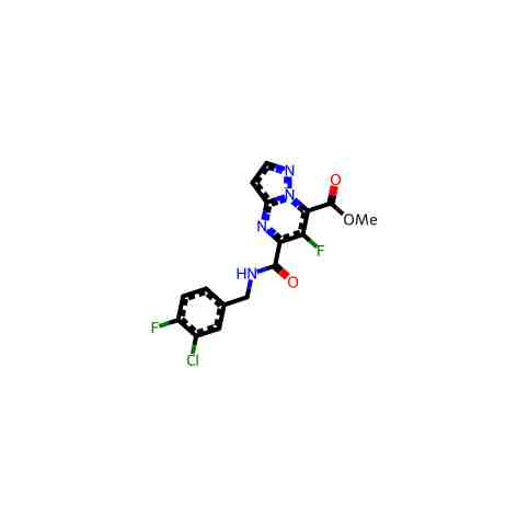 COC(=O)c1c(F)c(C(=O)NCc2ccc(F)c(Cl)c2)nc2ccnn12